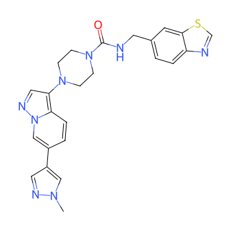 Cn1cc(-c2ccc3c(N4CCN(C(=O)NCc5ccc6ncsc6c5)CC4)cnn3c2)cn1